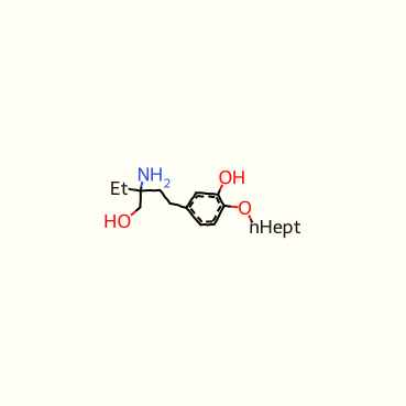 CCCCCCCOc1ccc(CCC(N)(CC)CO)cc1O